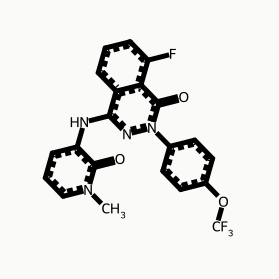 Cn1cccc(Nc2nn(-c3ccc(OC(F)(F)F)cc3)c(=O)c3c(F)cccc23)c1=O